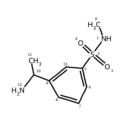 CNS(=O)(=O)c1cccc(C(C)N)c1